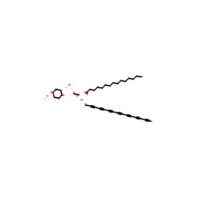 CC#CC#CC#CC#CC#CC#CC#CC(=O)OC[C@H](COP(=O)(O)OC1C(O)[C@H](O)[C@H](OP(=O)(O)O)C(O)[C@@H]1O)OC(=O)CCCCCCCCCCCCCCC